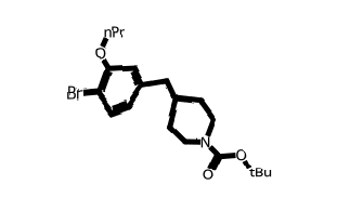 CCCOc1cc(CC2CCN(C(=O)OC(C)(C)C)CC2)ccc1Br